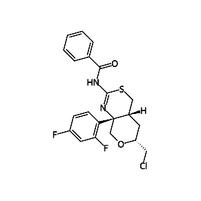 O=C(NC1=N[C@@]2(c3ccc(F)cc3F)CO[C@@H](CCl)C[C@H]2CS1)c1ccccc1